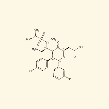 CC[C@@H]([C@@H](C)S(=O)(=O)C(C)C)N1C(=O)[C@@H](CC(=O)O)O[C@H](c2cccc(Cl)c2)[C@H]1c1ccc(Cl)cc1